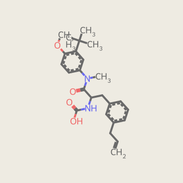 C=CCc1cccc(CC(NC(=O)O)C(=O)N(C)c2ccc(OC)c(C(C)(C)C)c2)c1